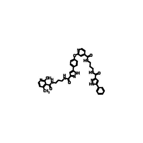 Cc1ccnc(O)c1C(=O)NCCCNC(=O)c1cc(-c2ccc(Oc3cc(C(=O)NCCCNC(=O)c4cc(-c5ccccc5)[nH]n4)ccn3)cc2)[nH]n1